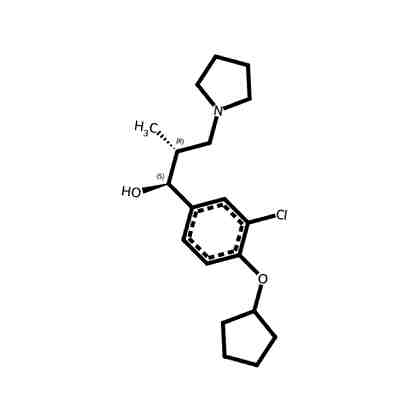 C[C@H](CN1CCCC1)[C@H](O)c1ccc(OC2CCCC2)c(Cl)c1